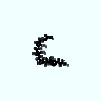 C=C(Br)C(=O)Nc1ccc2[nH]c(C(=O)Nc3c[nH]c(C(=O)Nc4c[nH]c(C(=O)Nc5c[nH]c(C(=O)NCCC(N)=O)c5C)c4C)c3C)c(C)c2c1